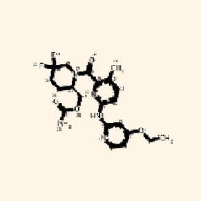 CCOc1ccnc(Nc2ccc(C)c(C(=O)N3CC(F)(F)CC[C@@H]3COC(N)=O)n2)c1